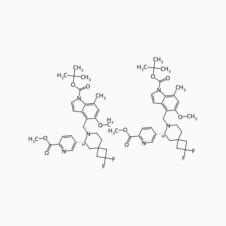 COC(=O)c1ccc([C@H]2CC3(CCN2Cc2c(OC)cc(C)c4c2ccn4C(=O)OC(C)(C)C)CC(F)(F)C3)cn1.COC(=O)c1ccc([C@H]2CC3(CCN2Cc2c(OC)cc(C)c4c2ccn4C(=O)OC(C)(C)C)CC(F)(F)C3)cn1